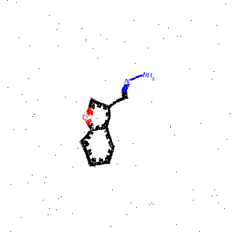 NN=Cc1coc2ccccc12